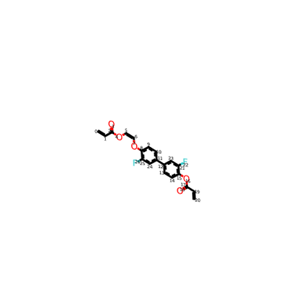 C=CC(=O)O/C=C\Oc1ccc(-c2ccc(OC(=O)C=C)c(F)c2)cc1F